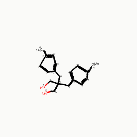 COc1ccc(CC(CO)(CO)Cc2ccc(C)cc2)cc1